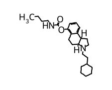 CCCCNC(=O)Oc1cccc2c1CC[C@@H]1[C@H]2CCN1CCC1CCCCC1